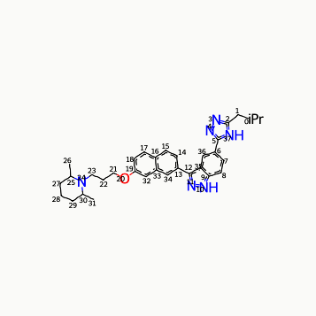 CC(C)Cc1nnc(-c2ccc3[nH]nc(-c4ccc5ccc(OCCCN6C(C)CCCC6C)cc5c4)c3c2)[nH]1